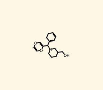 OCC1CCCN(C(C2=CC=CCC2)C2=COC=CO2)C1